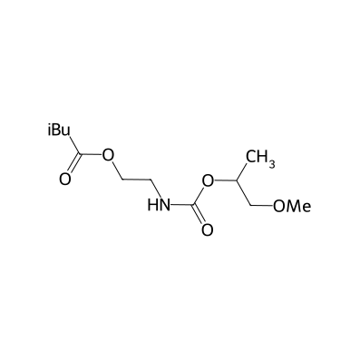 CCC(C)C(=O)OCCNC(=O)OC(C)COC